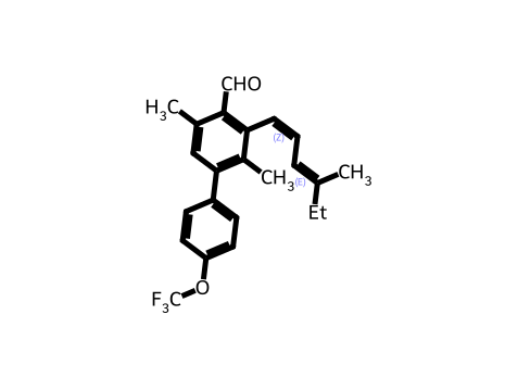 CC/C(C)=C/C=C\c1c(C)c(-c2ccc(OC(F)(F)F)cc2)cc(C)c1C=O